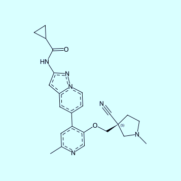 Cc1cc(-c2ccn3nc(NC(=O)C4CC4)cc3c2)c(OC[C@@]2(C#N)CCN(C)C2)cn1